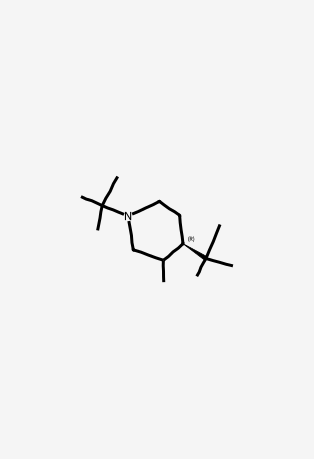 CC1CN(C(C)(C)C)CC[C@H]1C(C)(C)C